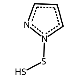 SSn1cccn1